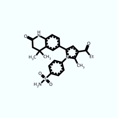 CCC(=O)c1cc(-c2ccc3c(c2)C(C)(C)CC(=O)N3)n(-c2ccc(S(N)(=O)=O)cc2)c1C